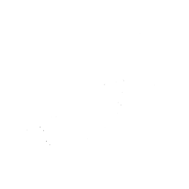 COc1cc(C(=O)NS(=O)(=O)c2cccc(O)c2)ccc1Cn1cccn1